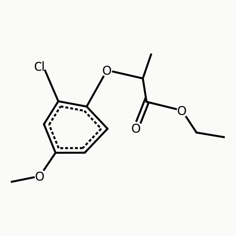 CCOC(=O)C(C)Oc1ccc(OC)cc1Cl